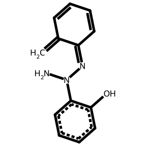 C=C1C=CC=C/C1=N/N(N)c1ccccc1O